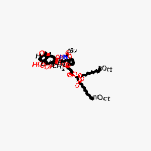 CCCCCCCC/C=C\CCCCCCCC(=O)OCC(COC(=O)CCC(=O)O[C@@H](C(=O)O[C@H]1CC2(O)CC[C@@H]3[C@@H]4CO[C@@H]4C[C@H](O)[C@@]3(C)C(=O)[C@H](O)C(=C1C)C2(C)C)C(NC(=O)OC(C)(C)C)c1ccccc1)OC(=O)CCCCCCC/C=C\CCCCCCCC